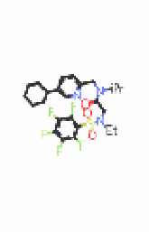 CCN(CC(=O)N(Cc1ccc(C2CCCCC2)cn1)C(C)C)S(=O)(=O)c1c(F)c(F)c(F)c(F)c1F